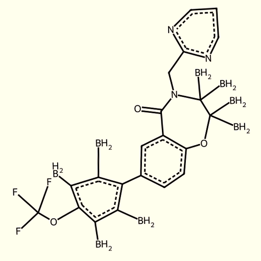 Bc1c(B)c(-c2ccc3c(c2)C(=O)N(Cc2ncccn2)C(B)(B)C(B)(B)O3)c(B)c(B)c1OC(F)(F)F